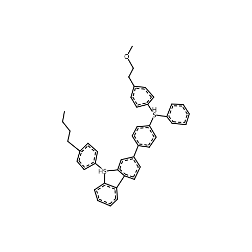 CCCCc1ccc([SH]2c3ccccc3-c3ccc(-c4ccc([SH](c5ccccc5)c5ccc(CCOC)cc5)cc4)cc32)cc1